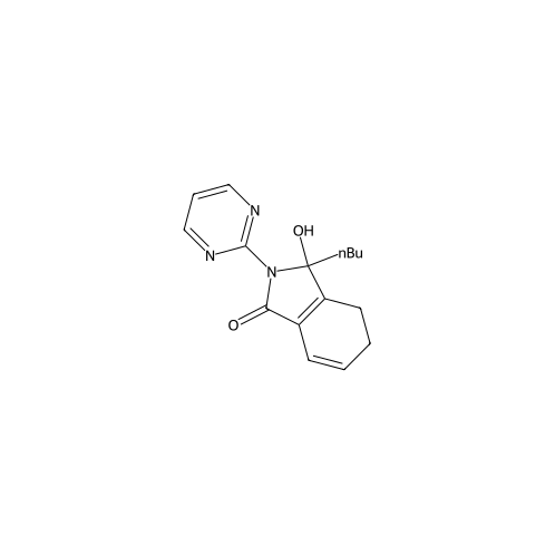 CCCCC1(O)C2=C(C=CCC2)C(=O)N1c1ncccn1